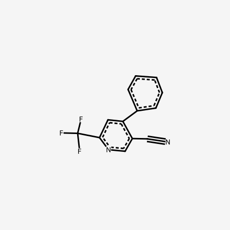 N#Cc1cnc(C(F)(F)F)cc1-c1ccccc1